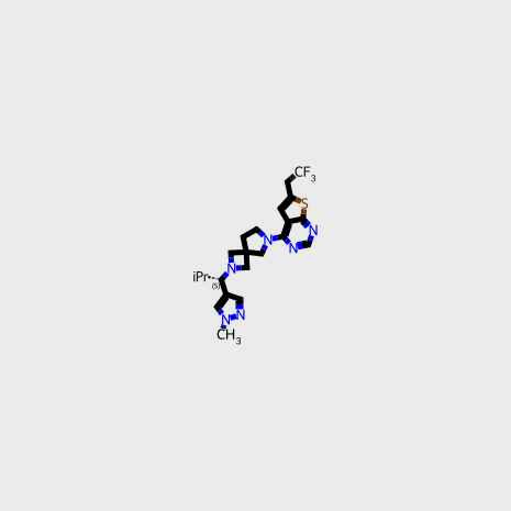 CC(C)[C@@H](c1cnn(C)c1)N1CC2(CCN(c3ncnc4sc(CC(F)(F)F)cc34)C2)C1